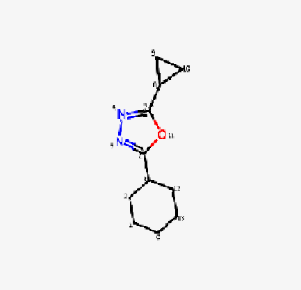 C1CCC(c2nnc(C3CC3)o2)CC1